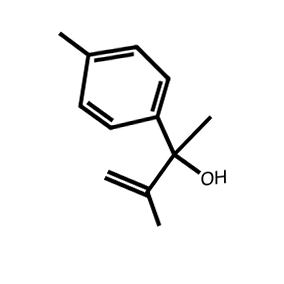 C=C(C)C(C)(O)c1ccc(C)cc1